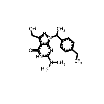 CC(c1ccc(CC(F)(F)F)cc1)n1nc(CO)c2c(=O)[nH]c(N(C)C)nc21